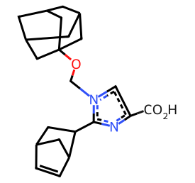 O=C(O)c1cn(COC23CC4CC(CC(C4)C2)C3)c(C2CC3C=CC2C3)n1